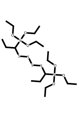 CCO[Si](OCC)(OCC)C(CC)SSSSC(CC)[Si](OCC)(OCC)OCC